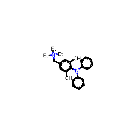 CC[N+](CC)(CC)Cc1cc(C)c(N(c2ccccc2)c2ccccc2)c(C)c1